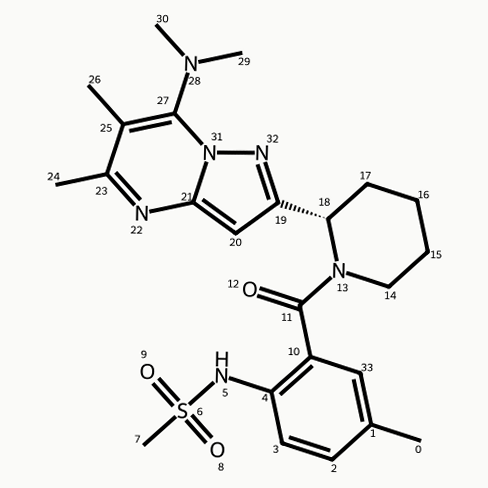 Cc1ccc(NS(C)(=O)=O)c(C(=O)N2CCCC[C@H]2c2cc3nc(C)c(C)c(N(C)C)n3n2)c1